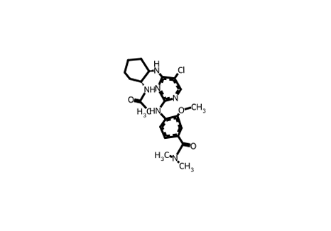 COc1cc(C(=O)N(C)C)ccc1Nc1ncc(Cl)c(N[C@@H]2CCCC[C@H]2NC(C)=O)n1